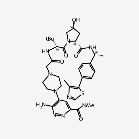 CNC(=O)c1cc(N2CCN(CC(=O)N[C@@H](C(=O)N3C[C@@H](O)C[C@@H]3C(=O)N[C@H](C)c3ccc(-c4scnc4C)cc3)C(C)(C)C)CC2)c(N)nn1